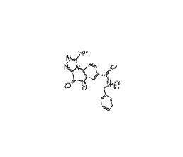 CCCc1nnc2c(=O)[nH]c3cc(C(=O)N(CC)Cc4ccccc4)ccc3n12